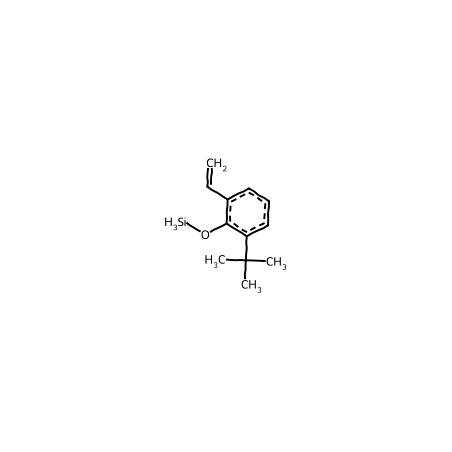 C=Cc1cccc(C(C)(C)C)c1O[SiH3]